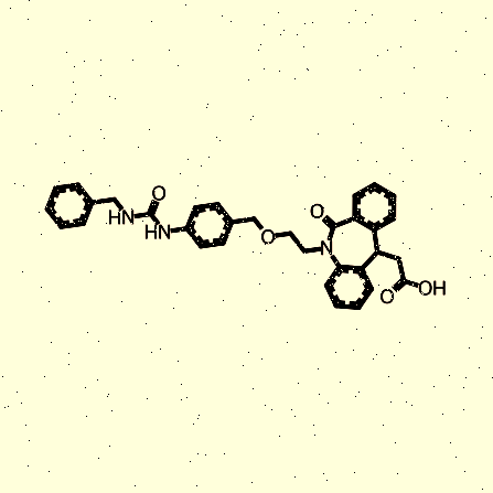 O=C(O)CC1c2ccccc2C(=O)N(CCOCc2ccc(NC(=O)NCc3ccccc3)cc2)c2ccccc21